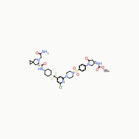 CC(C)(C)OC(=O)N[C@@H]1CC(=O)N(c2ccc(S(=O)(=O)N3CCN(c4cc(C(F)(F)[C@H]5CC[C@H](NC(=O)[C@@H]6CC7(CC7)CN6CC(N)=O)CC5)cc(Cl)n4)CC3)cc2)C1